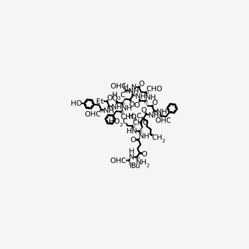 C=CCCC[C@](C)(CC[C@@H](NC(=O)CCC(=O)[C@@H](N)N[C@H](C=O)[C@@H](C)CC)N[C@H](C=O)CC(=O)O)C(=O)N[C@@H](N[C@H](C=O)Cc1ccccc1)C(=O)C[C@@H](N[C@H](C=O)CC(N)=O)C(=O)N[C@@H](N[C@@H](C)C=O)C(=O)C[C@@H](N[C@H](C=O)Cc1ccccc1)C(=O)N[C@@H](N[C@H](C=O)Cc1ccc(O)cc1)C(=O)CC